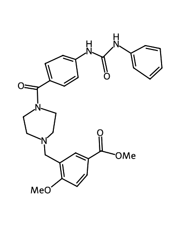 COC(=O)c1ccc(OC)c(CN2CCN(C(=O)c3ccc(NC(=O)Nc4ccccc4)cc3)CC2)c1